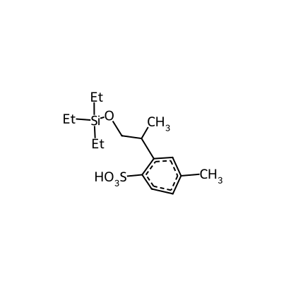 CC[Si](CC)(CC)OCC(C)c1cc(C)ccc1S(=O)(=O)O